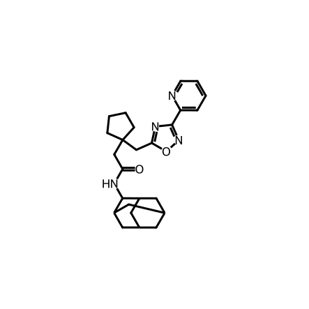 O=C(CC1(Cc2nc(-c3ccccn3)no2)CCCC1)NC1C2CC3CC(C2)CC1C3